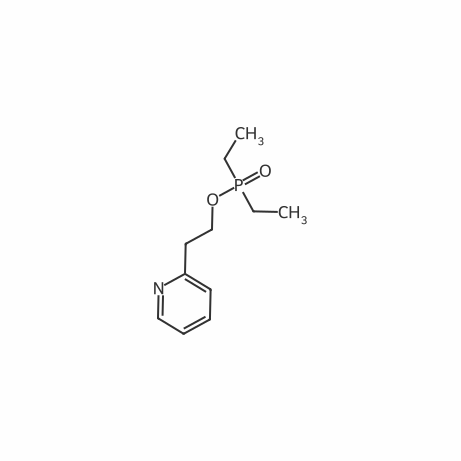 CCP(=O)(CC)OCCc1ccccn1